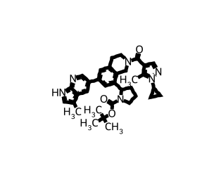 Cc1c[nH]c2ncc(-c3cc4c(c(C5CCCN5C(=O)OC(C)(C)C)c3)CN(C(=O)c3cnn(C5CC5)c3C)CC4)cc12